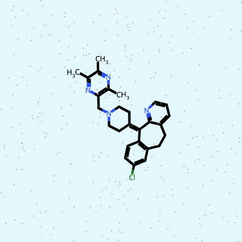 Cc1nc(C)c(CN2CCC(=C3c4ccc(Cl)cc4CCc4cccnc43)CC2)nc1C